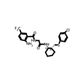 Nc1ccc(C(F)(F)F)cc1C(=O)NCC(=O)N[C@H]1CCCC[C@H]1CSc1ccc(Cl)cc1